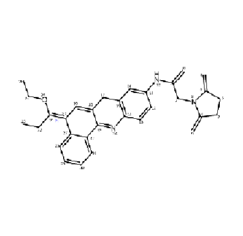 C=C(CN1C(=C)CCC1=C)Nc1ccc2c(c1)Cc1c/c(=C(/CC)OCC)c3ccccc3c1=N2